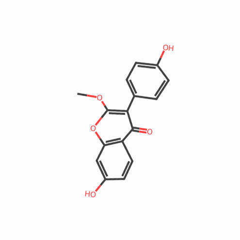 COc1oc2cc(O)ccc2c(=O)c1-c1ccc(O)cc1